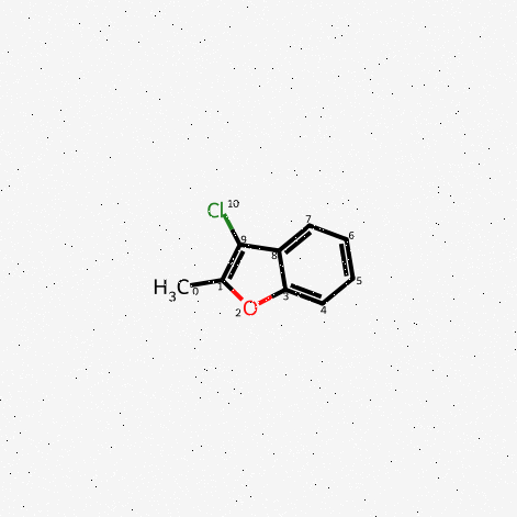 Cc1oc2ccccc2c1Cl